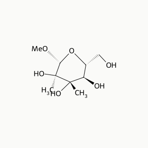 CO[C@@H]1O[C@H](CO)[C@@H](O)[C@](C)(O)[C@@]1(C)O